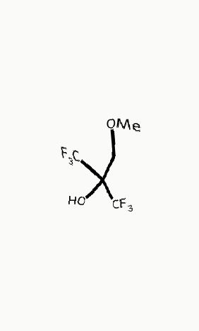 COCC(O)(C(F)(F)F)C(F)(F)F